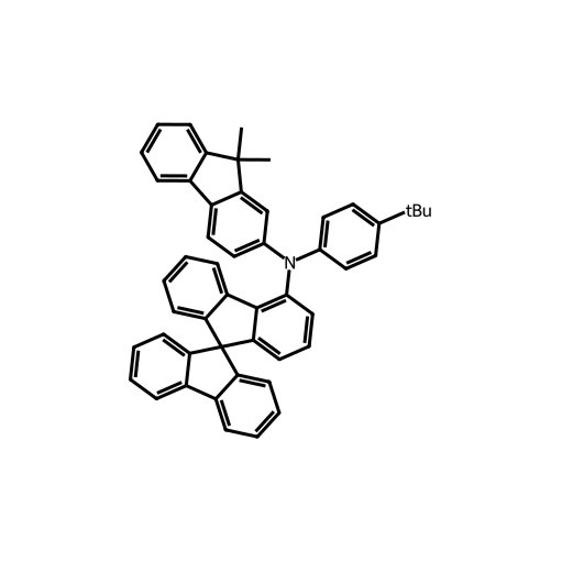 CC(C)(C)c1ccc(N(c2ccc3c(c2)C(C)(C)c2ccccc2-3)c2cccc3c2-c2ccccc2C32c3ccccc3-c3ccccc32)cc1